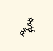 O=c1ccc(-c2nc(-c3cncc(Cl)c3)ns2)nn1Cc1nnc(-c2ccc(F)cc2)s1